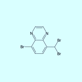 Brc1ccc(C(Br)Br)c2nccnc12